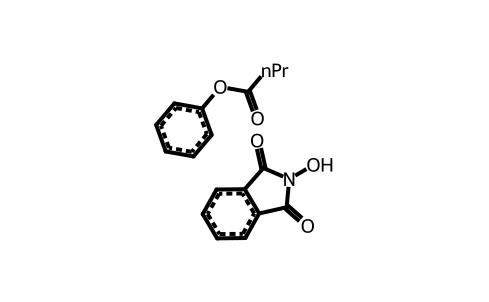 CCCC(=O)Oc1ccccc1.O=C1c2ccccc2C(=O)N1O